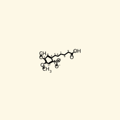 COc1cc(CCCCCC(=O)O)c([N+](=O)[O-])cc1OC